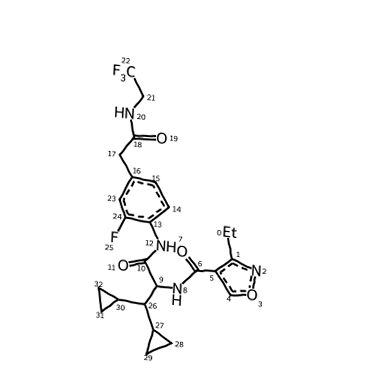 CCc1nocc1C(=O)NC(C(=O)Nc1ccc(CC(=O)NCC(F)(F)F)cc1F)C(C1CC1)C1CC1